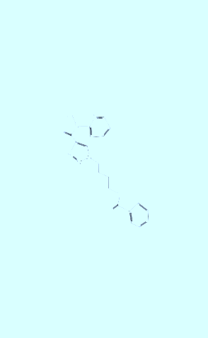 CN(C(=O)c1cn(CCCCOC(=O)c2ccccc2)nn1)c1ccccn1